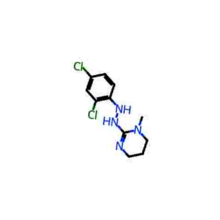 CN1CCCN=C1NNc1ccc(Cl)cc1Cl